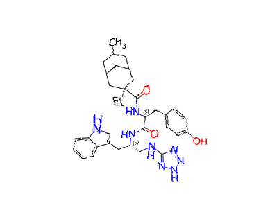 CCC1(C(=O)N[C@@H](Cc2ccc(O)cc2)C(=O)N[C@H](CNc2nn[nH]n2)Cc2c[nH]c3ccccc23)CC2CC(C)CC(C2)C1